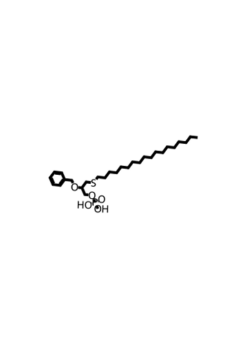 CCCCCCCCCCCCCCCCCCSCC(COP(=O)(O)O)OCc1ccccc1